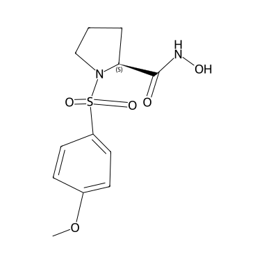 COc1ccc(S(=O)(=O)N2CCC[C@H]2C(=O)NO)cc1